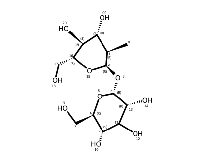 C[C@H]1[C@@H](O[C@H]2O[C@H](CO)[C@@H](O)C(O)[C@H]2O)O[C@H](CO)[C@@H](O)[C@@H]1O